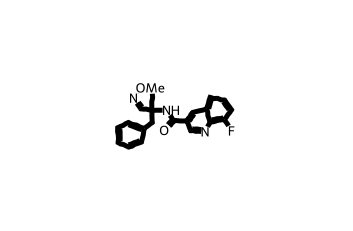 CO/N=C\C(C)(Cc1ccccc1)NC(=O)c1cnc2c(F)cccc2c1